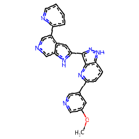 COc1cncc(-c2ccc3[nH]nc(-c4cc5c(-c6ccccn6)cncc5[nH]4)c3n2)c1